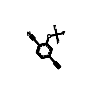 C#Cc1ccc(C#N)c(OC(F)(F)F)c1